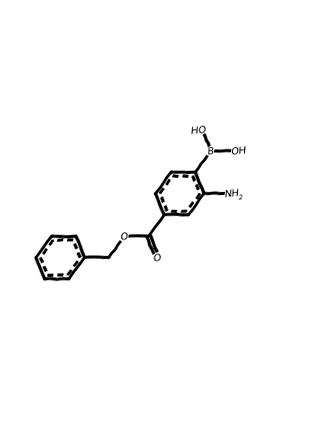 Nc1cc(C(=O)OCc2ccccc2)ccc1B(O)O